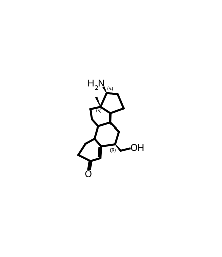 C[C@]12CCC3C4CCC(=O)C=C4[C@H](CO)CC3C1CC[C@@H]2N